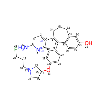 C/C=C(\C=N/CN)C1=C(c2ccc(O[C@H]3CCN(CCCF)C3)cc2)c2ccc(O)cc2CCC1